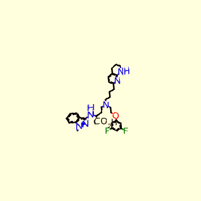 Cn1nc(NC(CCN(CCCCc2ccc3c(n2)NCCC3)CCOc2cc(F)cc(F)c2)C(=O)O)c2ccccc21